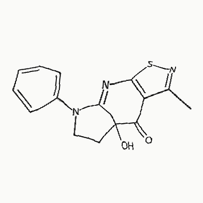 Cc1nsc2c1C(=O)C1(O)CCN(c3ccccc3)C1=N2